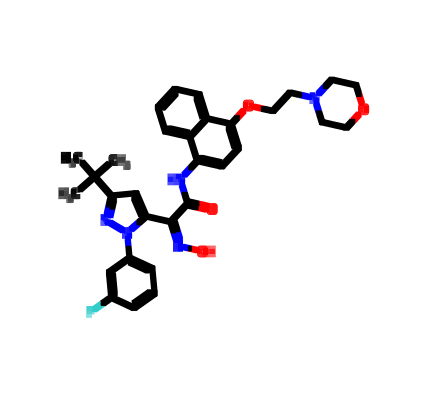 CC(C)(C)c1cc(/C(=N/O)C(=O)Nc2ccc(OCCN3CCOCC3)c3ccccc23)n(-c2cccc(F)c2)n1